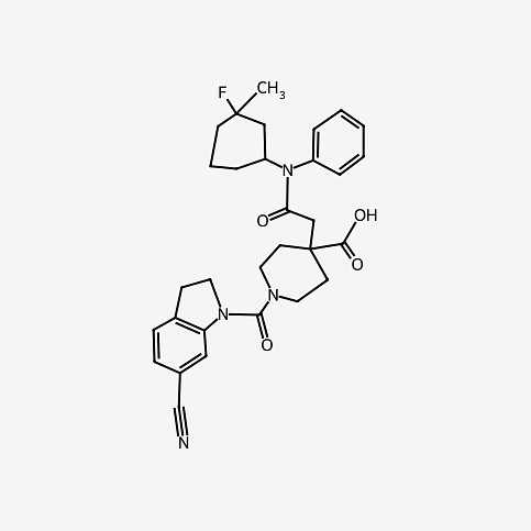 CC1(F)CCCC(N(C(=O)CC2(C(=O)O)CCN(C(=O)N3CCc4ccc(C#N)cc43)CC2)c2ccccc2)C1